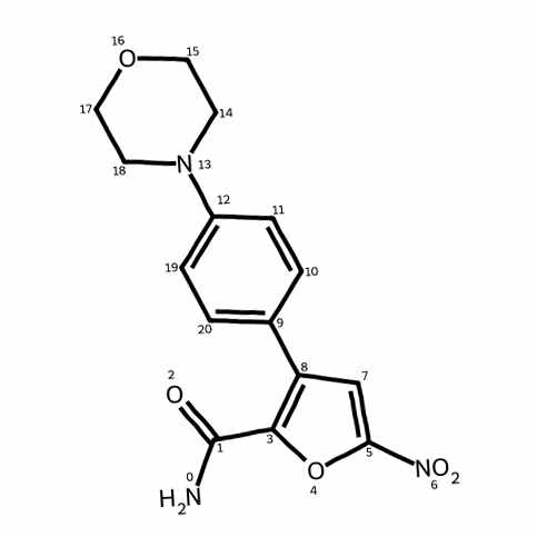 NC(=O)c1oc([N+](=O)[O-])cc1-c1ccc(N2CCOCC2)cc1